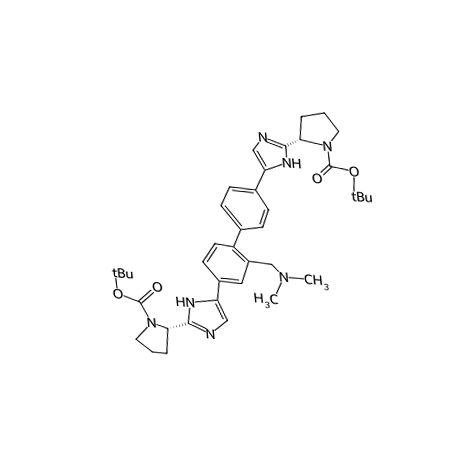 CN(C)Cc1cc(-c2cnc([C@@H]3CCCN3C(=O)OC(C)(C)C)[nH]2)ccc1-c1ccc(-c2cnc([C@@H]3CCCN3C(=O)OC(C)(C)C)[nH]2)cc1